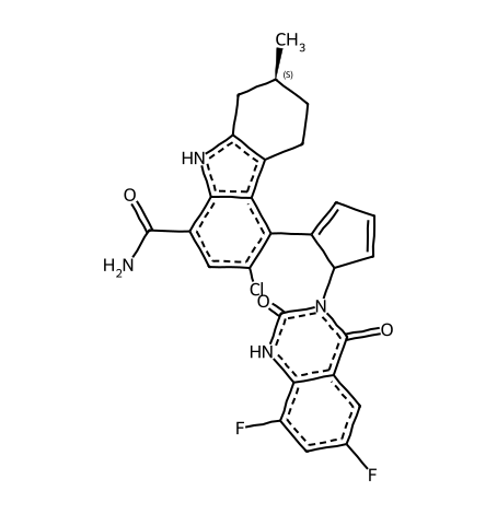 C[C@H]1CCc2c([nH]c3c(C(N)=O)cc(Cl)c(C4=CC=CC4n4c(=O)[nH]c5c(F)cc(F)cc5c4=O)c23)C1